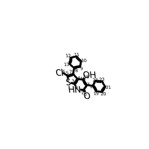 O=c1[nH]c2sc(Cl)c(-c3ccccc3)c2c(O)c1-c1ccccc1